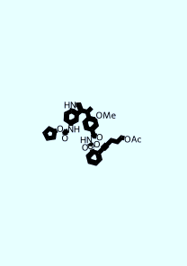 COc1cc(C(=O)NS(=O)(=O)c2ccccc2C#CCCCOC(C)=O)ccc1C(C)c1c[nH]c2ccc(NC(=O)OC3CCCC3)cc12